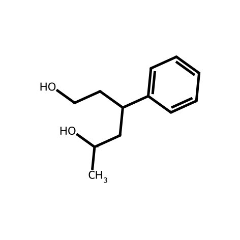 C[C](O)CC(CCO)c1ccccc1